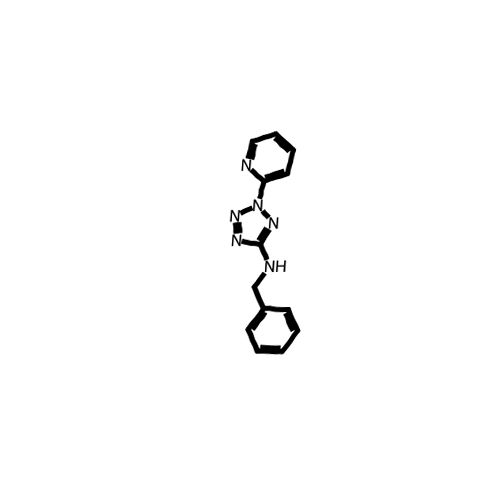 c1ccc(CNc2nnn(-c3ccccn3)n2)cc1